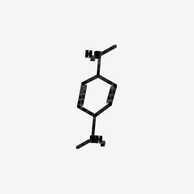 C[SiH2]C1C=CC([SiH2]C)C=C1